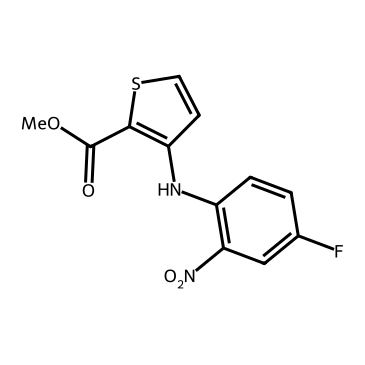 COC(=O)c1sccc1Nc1ccc(F)cc1[N+](=O)[O-]